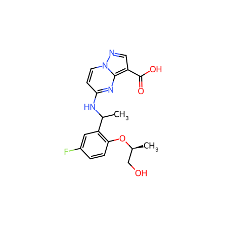 CC(Nc1ccn2ncc(C(=O)O)c2n1)c1cc(F)ccc1O[C@@H](C)CO